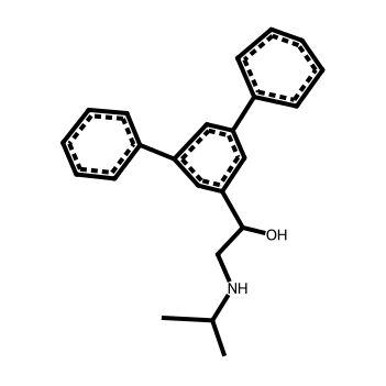 CC(C)NCC(O)c1cc(-c2ccccc2)cc(-c2ccccc2)c1